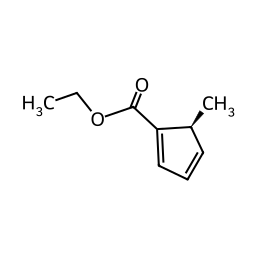 CCOC(=O)C1=CC=C[C@@H]1C